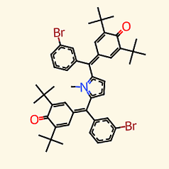 Cn1c(C(=C2C=C(C(C)(C)C)C(=O)C(C(C)(C)C)=C2)c2cccc(Br)c2)ccc1C(=C1C=C(C(C)(C)C)C(=O)C(C(C)(C)C)=C1)c1cccc(Br)c1